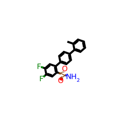 Cc1ccccc1-c1ccc(-c2cc(F)c(F)cc2S(N)(=O)=O)cc1